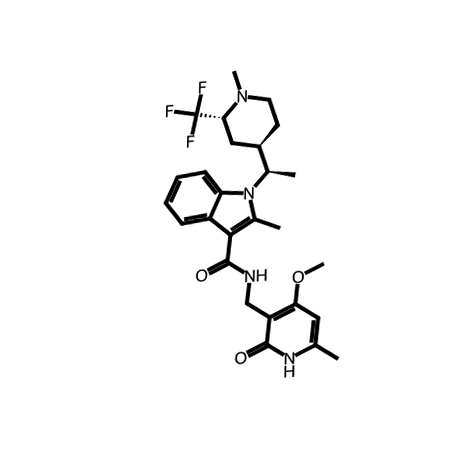 COc1cc(C)[nH]c(=O)c1CNC(=O)c1c(C)n([C@H](C)[C@@H]2CCN(C)[C@@H](C(F)(F)F)C2)c2ccccc12